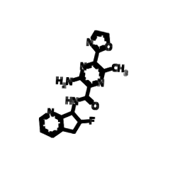 Cc1nc(C(=O)NC2c3ncccc3CC2F)c(N)nc1-c1ncco1